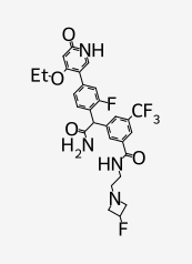 CCOc1cc(=O)[nH]cc1-c1ccc(C(C(N)=O)c2cc(C(=O)NCCN3CC(F)C3)cc(C(F)(F)F)c2)c(F)c1